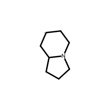 [CH]1CCN2CCCC2C1